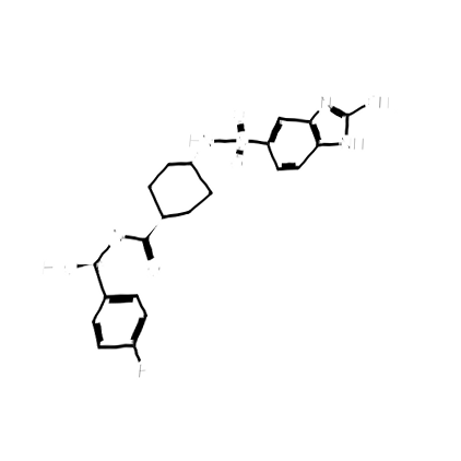 Cc1nc2cc(S(=O)(=O)N[C@H]3CC[C@H](C(=O)N[C@H](C)c4ccc(F)cc4)CC3)ccc2[nH]1